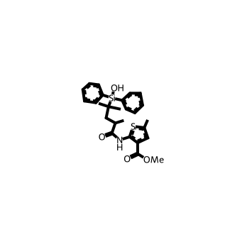 COC(=O)c1cc(C)sc1NC(=O)C(C)CC(C)(C)[Si](O)(c1ccccc1)c1ccccc1